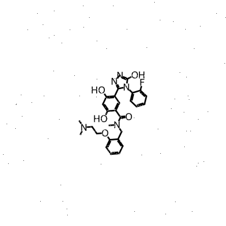 CN(C)CCOc1ccccc1CN(C)C(=O)c1cc(-c2nnc(O)n2-c2ccccc2F)c(O)cc1O